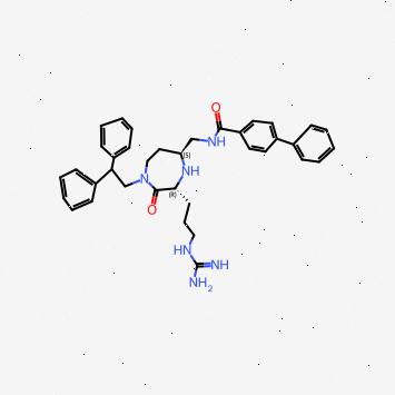 N=C(N)NCCC[C@H]1N[C@H](CNC(=O)c2ccc(-c3ccccc3)cc2)CCN(CC(c2ccccc2)c2ccccc2)C1=O